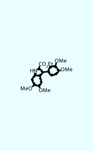 CCOC(=O)c1[nH]c2cc(OC)c(OC)cc2c1-c1ccc(OC)c(OC)c1